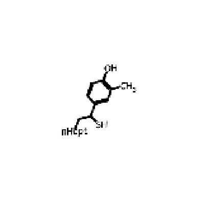 CCCCCCCCC(S)c1ccc(O)c(C)c1